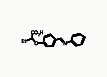 CCC(Oc1ccc(/C=N/c2ccccc2)cc1)C(=O)O